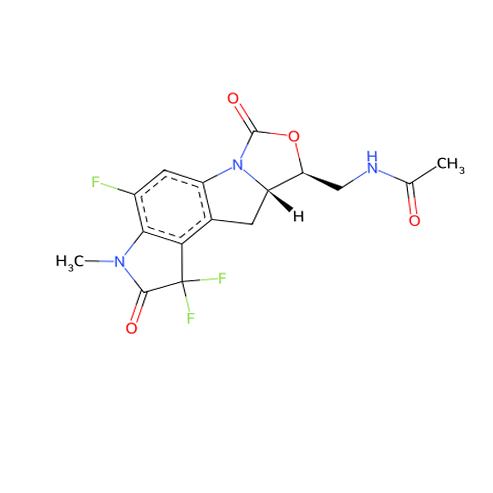 CC(=O)NC[C@@H]1OC(=O)N2c3cc(F)c4c(c3C[C@@H]12)C(F)(F)C(=O)N4C